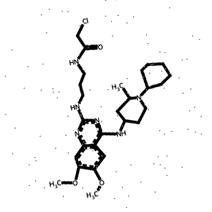 COc1cc2nc(NCCCNC(=O)CCl)nc(NC3CCN(C4CCCCC4)C(C)C3)c2cc1OC